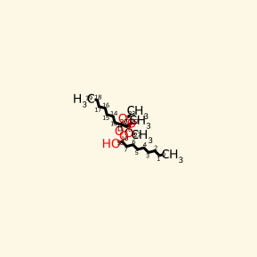 CCCCCCCCC(O)OOC(CCCCCCC)(OC(C)C)C(=O)OC